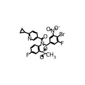 CS(=O)(=O)c1cc(F)ccc1N(Cc1cc(F)c(Br)c([N+](=O)[O-])c1)C(=O)c1ccc(C2CC2)nc1